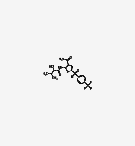 CC(C)C(O)C(=O)Nc1sc(S(=O)(=O)c2ccc(C(F)(F)F)cc2)cc1C(N)=O